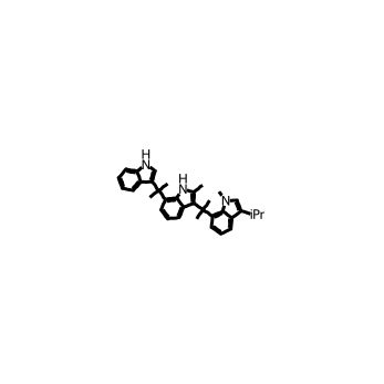 Cc1[nH]c2c(C(C)(C)c3c[nH]c4ccccc34)cccc2c1C(C)(C)c1cccc2c(C(C)C)cn(C)c12